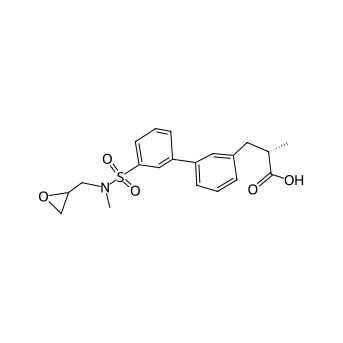 C[C@@H](Cc1cccc(-c2cccc(S(=O)(=O)N(C)CC3CO3)c2)c1)C(=O)O